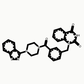 O=C(c1cccc(Cn2c(=O)[nH]c(=O)c3ccccc32)c1)N1CCN(c2nsc3ccccc23)CC1